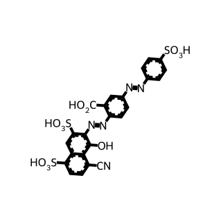 N#Cc1ccc(S(=O)(=O)O)c2cc(S(=O)(=O)O)c(/N=N/c3ccc(/N=N/c4ccc(S(=O)(=O)O)cc4)cc3C(=O)O)c(O)c12